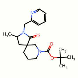 CC1CC2(CCCN(C(=O)OC(C)(C)C)C2)C(=O)N1Cc1ccccn1